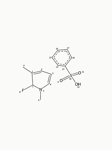 CC1=CC=CN(C)C1F.O=S(=O)(O)c1ccccc1